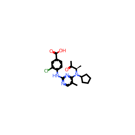 CC(=O)[C@@H](C)N(c1nc(Nc2ccc(C(=O)O)cc2Cl)ncc1C)C1CCCC1